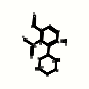 Cl.O=Cc1cccc(C2CNCCN2)c1[N+](=O)[O-]